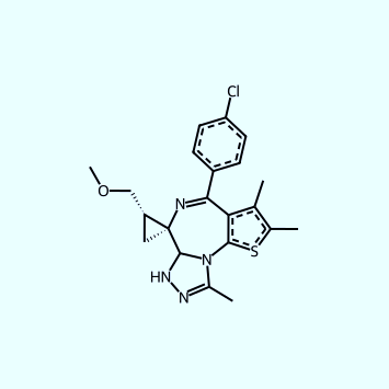 COC[C@H]1C[C@@]12N=C(c1ccc(Cl)cc1)c1c(sc(C)c1C)N1C(C)=NNC12